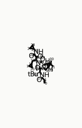 C=CC(=O)N[C@H](C(=O)N1C[C@H]2[C@@H]([C@H]1C(=O)NC(CC1CC1)C(=O)C(=O)NC1CC1)C2(C)C)C(C)(C)C